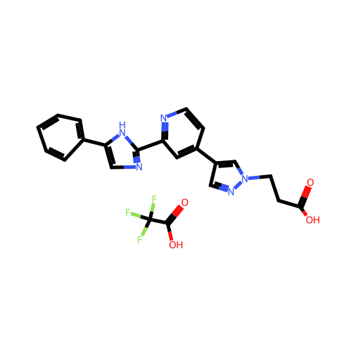 O=C(O)C(F)(F)F.O=C(O)CCn1cc(-c2ccnc(-c3ncc(-c4ccccc4)[nH]3)c2)cn1